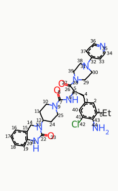 CCc1cc(C[C@@H](NC(=O)N2CCC(N3Cc4ccccc4NC3=O)CC2)C(=O)N2CCN(c3ccncc3)CC2)cc(Cl)c1N